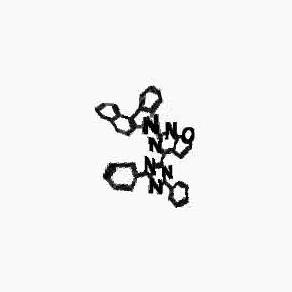 c1ccc(-c2nc(-c3ccccc3)nc(-c3nc(-n4c5ccccc5c5c6ccccc6ccc54)nc4occc34)n2)cc1